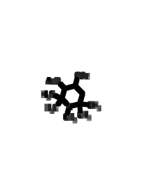 CC(=O)OC1CC(C)(C)N(C)C(C)(C)C1OC(C)=O